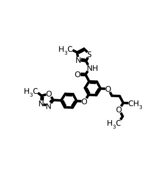 CCOC(C)CCOc1cc(Oc2ccc(-c3nnc(C)o3)cc2)cc(C(=O)Nc2nc(C)cs2)c1